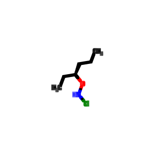 CCC[C@H](CC)ONCl